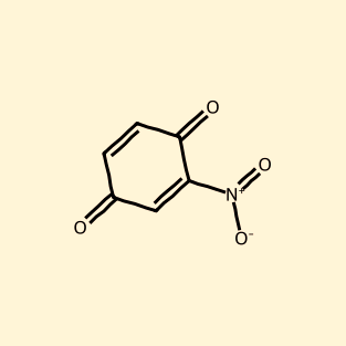 O=C1C=CC(=O)C([N+](=O)[O-])=C1